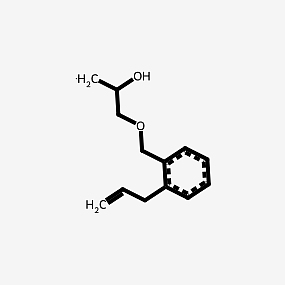 [CH2]C(O)COCc1ccccc1CC=C